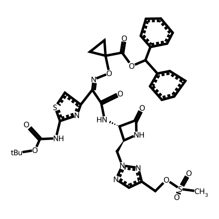 CC(C)(C)OC(=O)Nc1nc(C(=NOC2(C(=O)OC(c3ccccc3)c3ccccc3)CC2)C(=O)N[C@@H]2C(=O)N[C@H]2Cn2ncc(COS(C)(=O)=O)n2)cs1